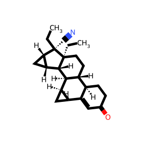 CC[C@]12CC[C@H]3[C@@H]([C@@H]4C[C@@H]4C4=CC(=O)CC[C@@H]43)[C@@H]1[C@@H]1C[C@@H]1[C@@]2(C#N)CC